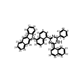 c1ccc(C2N=C(c3cccc4c(-n5c6ccccc6c6cc7ccccc7cc65)cccc34)N=C(c3cccc4ccccc34)N2)cc1